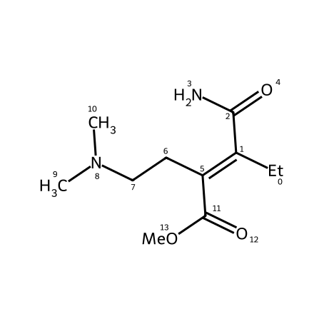 CCC(C(N)=O)=C(CCN(C)C)C(=O)OC